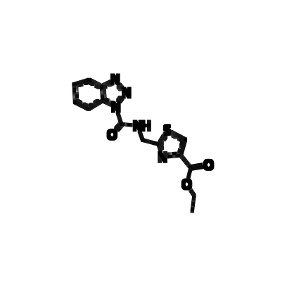 CCOC(=O)c1csc(CNC(=O)n2nnc3ccccc32)n1